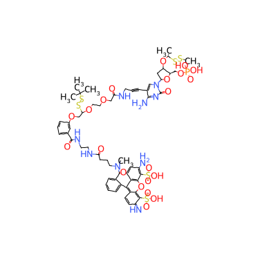 CSS[C@@H](C)OC1C[C@H](n2cc(C#CCNC(=O)COCCOC(COc3cccc(C(=O)NCCNC(=O)CCCN(C)C(=O)c4ccccc4-c4c5ccc(=N)c(S(=O)(=O)O)c-5oc5c(S(=O)(=O)O)c(N)ccc45)c3)SSC(C)(C)C)c(N)nc2=O)O[C@@H]1COP(=O)(O)O